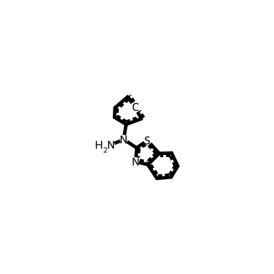 NN(c1ccccc1)c1nc2ccccc2s1